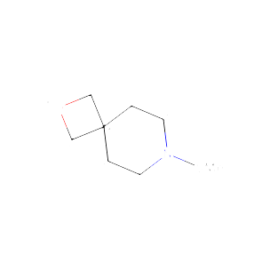 CSN1CCC2(CC1)COC2